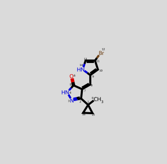 CC1(C2=NNC(=O)C2=Cc2cc(Br)c[nH]2)CC1